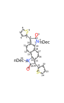 CCCCCCCCCCN1C(=O)C(c2cccs2)=c2ccc3c4c(ccc3c21)=C(c1cccs1)C(=O)N4CCCCCCCCCC